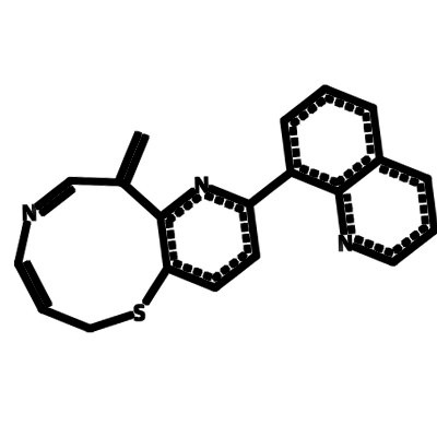 C=C1/C=N\C=C/CSc2ccc(-c3cccc4cccnc34)nc21